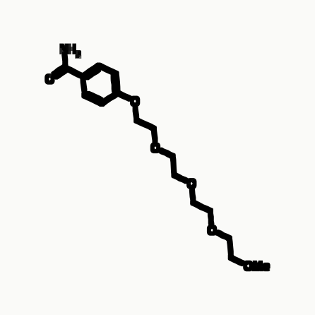 COCCOCCOCCOCCOc1ccc(C(N)=O)cc1